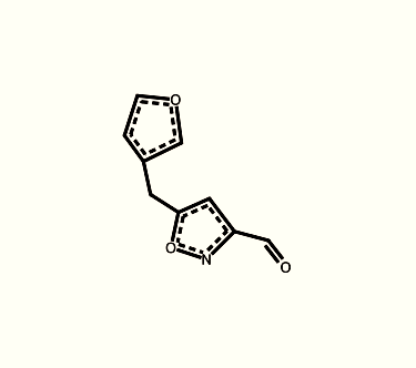 O=Cc1cc(Cc2ccoc2)on1